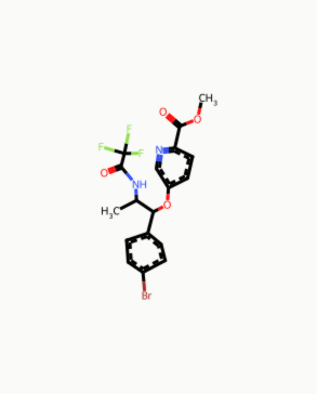 COC(=O)c1ccc(OC(c2ccc(Br)cc2)C(C)NC(=O)C(F)(F)F)cn1